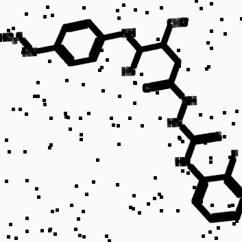 O=CC(CC(=O)NNC(=S)Nc1ccccc1F)C(S)Nc1ccc(NS(=O)(=O)O)cc1